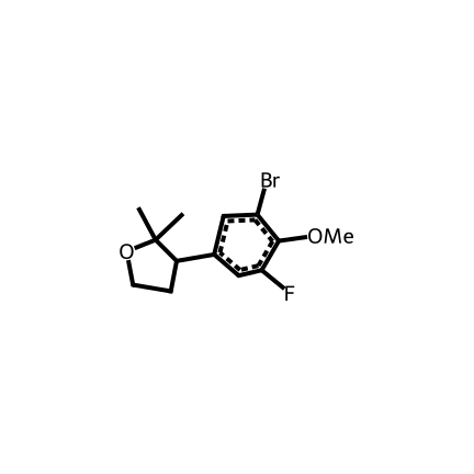 COc1c(F)cc(C2CCOC2(C)C)cc1Br